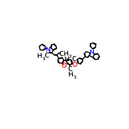 C=C/C(=C\c1c(C)n(C2=CCCC=C2)c2ccccc12)c1ccc2oc3c(C)c(Oc4ccc(C5=CCC6C(=C5)c5ccccc5N6c5ccccc5)cc4C)ccc3c2c1